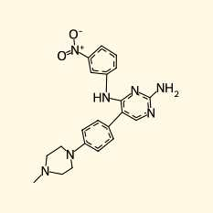 CN1CCN(c2ccc(-c3cnc(N)nc3Nc3cccc([N+](=O)[O-])c3)cc2)CC1